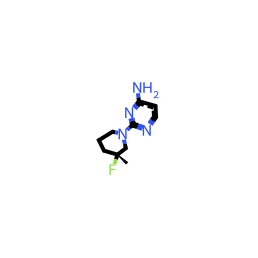 C[C@@]1(F)CCCN(c2nccc(N)n2)C1